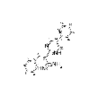 N=C(N)/C(Cc1ccccc1)=C1/N=CC(c2ccccn2)=CN1